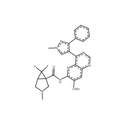 COc1cc2ncnc(-c3cn(C)nc3-c3ccccc3)c2nc1NC(=O)C12CN(C)CC1C2(F)F